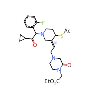 CCOC(=O)CN1CCN(C/C=C2\CN(C(C(=O)C3CC3)c3ccccc3F)CCC2SC(C)=O)CC1=O